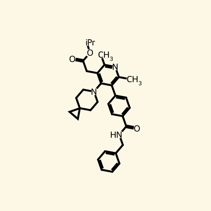 Cc1nc(C)c(-c2ccc(C(=O)NCc3ccccc3)cc2)c(N2CCC3(CC2)CC3)c1CC(=O)OC(C)C